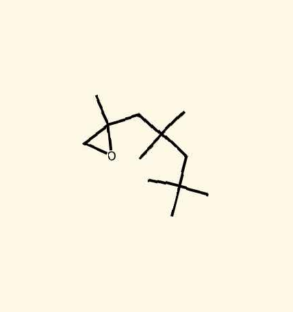 CC(C)(C)CC(C)(C)CC1(C)CO1